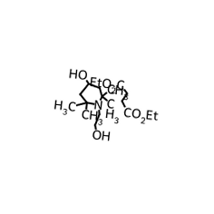 CC1(C)CC(O)CC(C)(C)N1CCO.CCOC(=O)CCC(=O)OCC